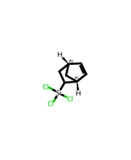 Cl[Si](Cl)(Cl)C1C[C@@H]2C=C[C@H]1C2